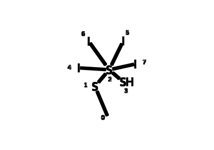 CSS(S)(I)(I)(I)I